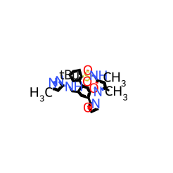 Cc1cc(NCc2cc(-c3ncco3)ccc2-c2ccccc2S(=O)(=O)Nc2onc(C)c2C)n(C(C)(C)C)n1